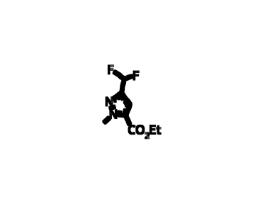 CCOC(=O)c1cc(C(F)F)nn1C